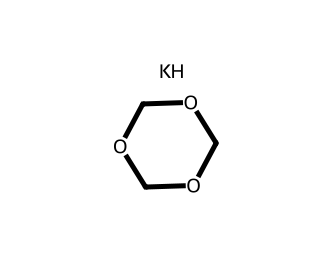 C1OCOCO1.[KH]